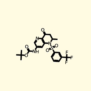 CC1CC(=O)c2ncc(NC(=O)OC(C)(C)C)cc2N1S(=O)(=O)c1cccc(C(F)(F)F)c1